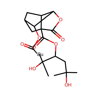 CCC(C)C(=O)OC1C2CC3C1OC(=O)C3(C(=O)OC(CC(C)(C)O)C(C)(C)O)C2